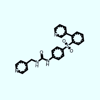 O=C(NCc1ccncc1)Nc1ccc(S(=O)(=O)c2ccccc2-c2cccnc2)cc1